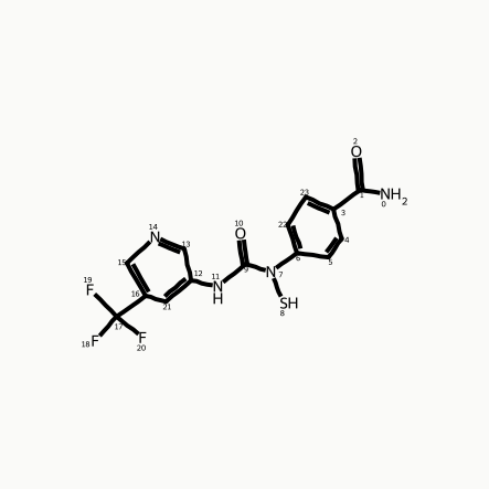 NC(=O)c1ccc(N(S)C(=O)Nc2cncc(C(F)(F)F)c2)cc1